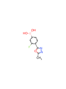 Cc1nnc(-c2ccc(B(O)O)cc2F)o1